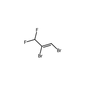 FC(F)C(Br)=CBr